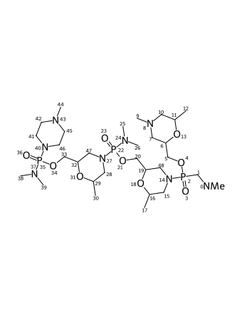 CNCP(=O)(OCC1CN(C)CC(C)O1)N1CC(C)OC(COP(=O)(N(C)C)N2CC(C)OC(COP(=O)(N(C)C)N3CCN(C)CC3)C2)C1